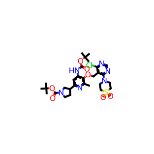 Cc1nc(C2CCN(C(=O)OC(C)(C)C)C2)cc(NC(=O)OC(C)(C)C)c1OCc1c(Cl)ncnc1N1CCS(=O)(=O)CC1